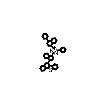 c1ccc(-c2nc(-c3ccc(-c4ccccc4)c4ccccc34)nc(-c3ccc(-c4cc5ccccc5c5sc6ccccc6c45)c4ccccc34)n2)cc1